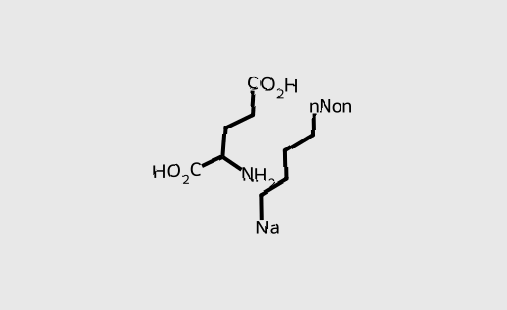 CCCCCCCCCCCC[CH2][Na].NC(CCC(=O)O)C(=O)O